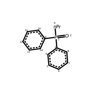 [CH2]CCP(=O)(c1ccccc1)c1ccccc1